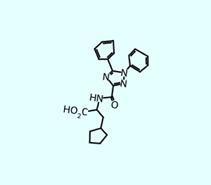 O=C(NC(CC1CCCC1)C(=O)O)c1nc(-c2ccccc2)n(-c2ccccc2)n1